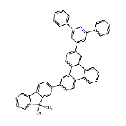 CC1(C)c2ccccc2-c2ccc(-c3ccc4c5ccccc5c5cc(-c6cc(-c7ccccc7)nc(-c7ccccc7)c6)ccc5c4c3)cc21